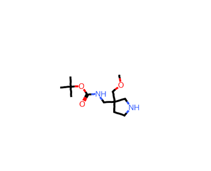 COCC1(CNC(=O)OC(C)(C)C)CCNC1